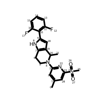 Cc1cc(N2CCc3[nH]c(-c4c(F)cccc4F)cc3C2C)nc(S(C)(=O)=O)c1